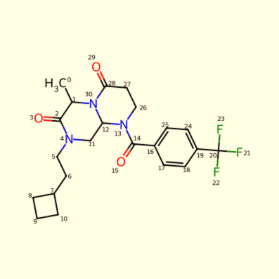 CC1C(=O)N(CCC2CCC2)CC2N(C(=O)c3ccc(C(F)(F)F)cc3)CCC(=O)N12